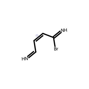 N=C/C=C\C(=N)Br